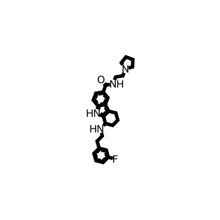 O=C(NCCN1CCCC1)c1ccc2[nH]c3c(c2c1)CCCC3NCCc1cccc(F)c1